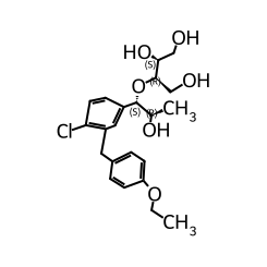 CCOc1ccc(Cc2cc([C@H](O[C@H](CO)[C@@H](O)CO)[C@@H](C)O)ccc2Cl)cc1